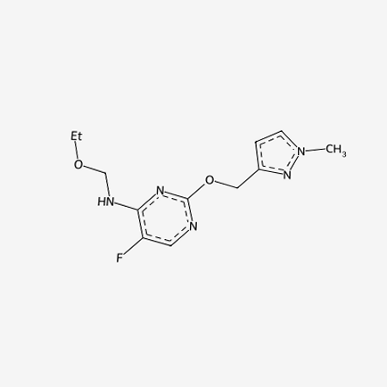 CCOCNc1nc(OCc2ccn(C)n2)ncc1F